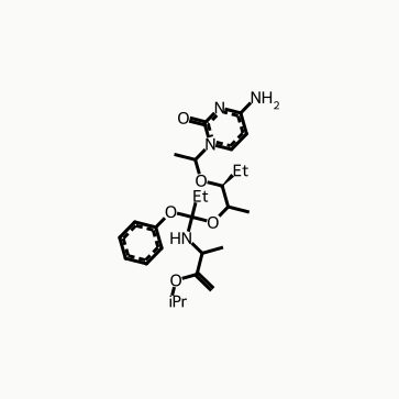 C=C(OC(C)C)C(C)NC(CC)(Oc1ccccc1)OC(C)[C@H](CC)OC(C)n1ccc(N)nc1=O